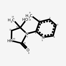 Cc1cccnc1N1C(=O)NCC1(C)O